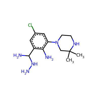 CC1(C)CN(c2cc(Cl)cc(C(N)NN)c2N)CCN1